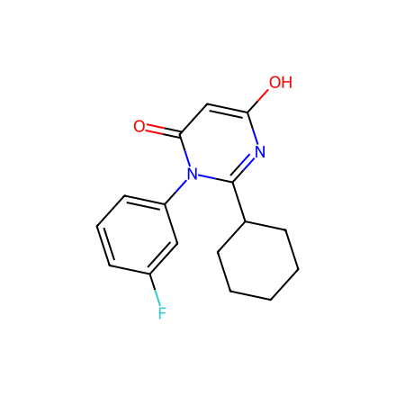 O=c1cc(O)nc(C2CCCCC2)n1-c1cccc(F)c1